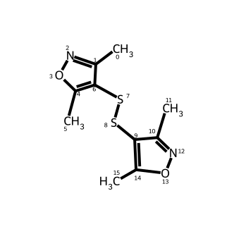 Cc1noc(C)c1SSc1c(C)noc1C